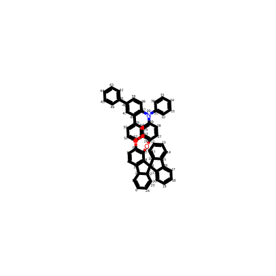 C1=CC2c3ccc4c(c3C3(c5ccccc5-c5ccccc53)C2C=C1)Oc1ccc(N(c2ccccc2)c2ccc(-c3ccccc3)cc2-c2ccccc2)cc1O4